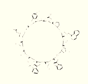 CCCC[C@H]1C(=O)N(C)[C@@H](CCCC)C(=O)N[C@@H](CC(C)C)C(=O)N[C@H](C(=O)NCC(N)=O)CSCC(=O)N[C@@H](Cc2ccc(O)cc2)C(=O)N(C)[C@@H](C)C(=O)N[C@@H](CC(N)=O)C(=O)N2CCC[C@H]2C(=O)N[C@@H](CNCc2nccc3ccccc23)C(=O)N[C@@H](CC(C)C)C(=O)N2C[C@H](O)C[C@H]2C(=O)N[C@@H](Cc2c[nH]c3ccccc23)C(=O)N[C@@H](CCN)C(=O)N[C@@H](Cc2cn(CC(=O)O)c3ccccc23)C(=O)N1C